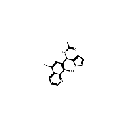 CC(=O)NC(c1ccco1)c1cc(Cl)c2cccnc2c1O